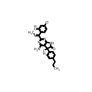 CCCc1ccc(C2(C)C(=O)Nc3nc(/C(=N/C)c4ccc(Cl)cc4C)nc(N)c32)cc1